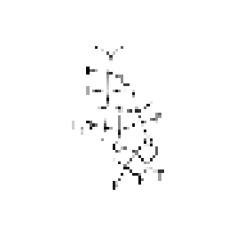 CC(C)C(F)(F)C(F)(F)C(C)(C)C(C)(N)C1(F)OC(C(F)(F)F)(C(F)(F)F)OC1(F)C(C)(C)C